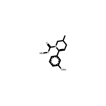 CCCCOC(=O)N1CC(C)CC=C1c1cccc(OC)c1